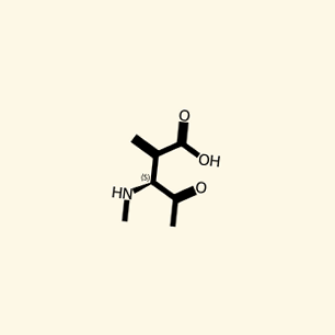 C=C(C(=O)O)[C@H](NC)C(C)=O